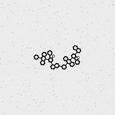 c1ccc(-c2c3ccccc3c(-c3cc(-c4cccc5cc(-c6cccc(-c7c8ccccc8c(-c8ccc(-c9cccc%10ccccc9%10)c9oc%10ccccc%10c89)c8ccccc78)c6)ccc45)cc4oc5ccccc5c34)c3ccccc23)cc1